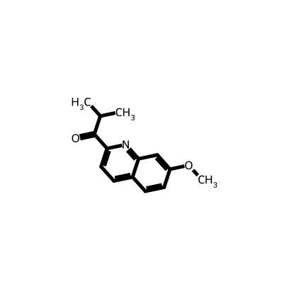 COc1ccc2ccc(C(=O)C(C)C)nc2c1